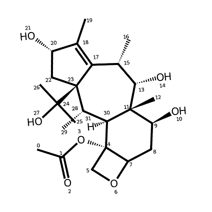 CC(=O)O[C@@]12COC1C[C@H](O)[C@@]1(C)[C@@H](O)[C@@H](C)C3=C(C)[C@@H](O)C[C@@]3(C(C)(C)O)[C@@H](C)[C@@H]12